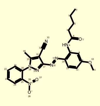 CCCCC(=O)Nc1cc(OC)ccc1N=Nc1nn(-c2ccccc2[N+](=O)[O-])c(C)c1C#N